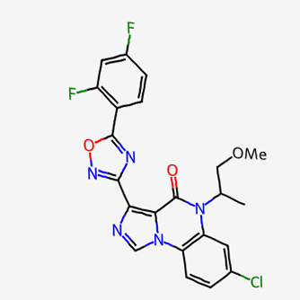 COCC(C)n1c(=O)c2c(-c3noc(-c4ccc(F)cc4F)n3)ncn2c2ccc(Cl)cc21